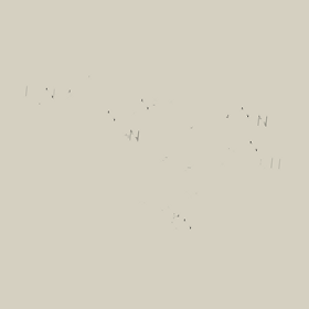 Cn1nnc2cc(-c3cnc(N4CCC(N)CC4)nc3-c3ccc(C#N)cc3)ccc21